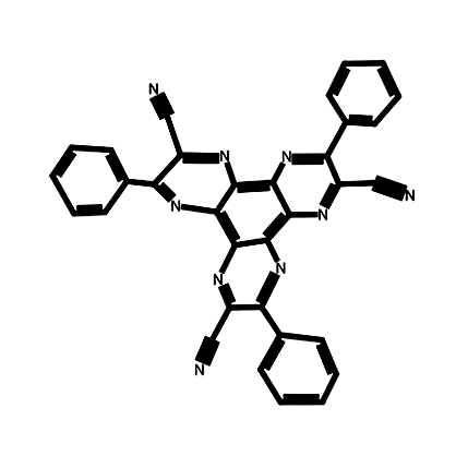 N#Cc1nc2c(nc1-c1ccccc1)c1nc(C#N)c(-c3ccccc3)nc1c1nc(C#N)c(-c3ccccc3)nc21